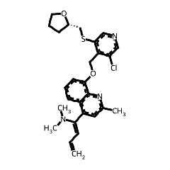 C=C/C=C(/c1cc(C)nc2c(OCc3c(Cl)cncc3SC[C@@H]3CCCO3)cccc12)N(C)C